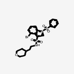 O=S(=O)(NCCC1CCOCC1)c1cn(S(=O)(=O)c2ccccc2)c2cccc(Br)c12